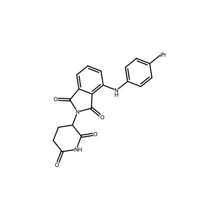 CC(C)c1ccc(Nc2cccc3c2C(=O)N(C2CCC(=O)NC2=O)C3=O)cc1